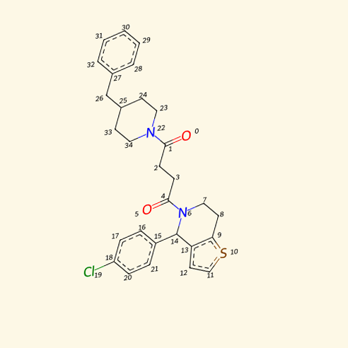 O=C(CCC(=O)N1CCc2sccc2C1c1ccc(Cl)cc1)N1CCC(Cc2ccccc2)CC1